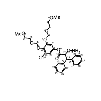 COCCOCOc1cc(OC(=O)C(ON)C(c2ccccc2)c2ccccc2)cc(Cl)c1OCOCCOC